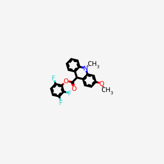 COc1ccc2c(c1)N(C)c1ccccc1C2C(=O)Oc1c(F)ccc(F)c1F